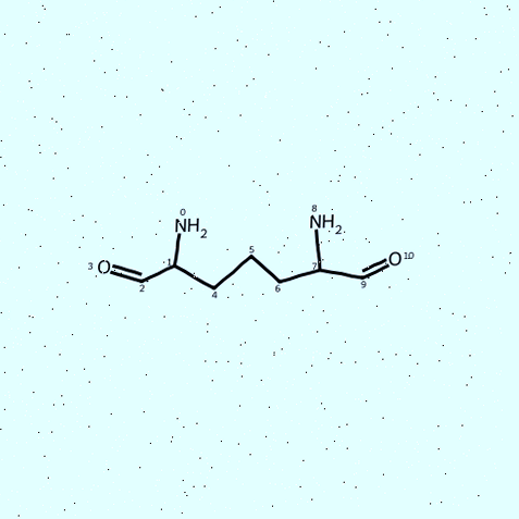 NC([C]=O)CCCC(N)[C]=O